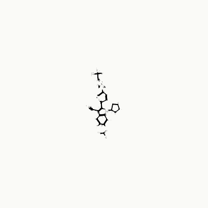 C[C@@H](NS(=O)(=O)c1ccc(-c2c(C#N)c3cc(F)c(OC(F)F)cc3n2C2CCCC2)nc1)C(F)(F)F